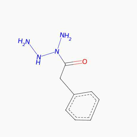 NNN(N)C(=O)Cc1ccccc1